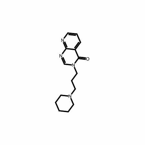 O=c1c2cccnc2ncn1CCCN1CCCCC1